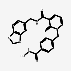 O=C(NO)c1ccc(Cn2cccc(C(=O)NCc3ccc4c(c3)OCO4)c2=O)cc1